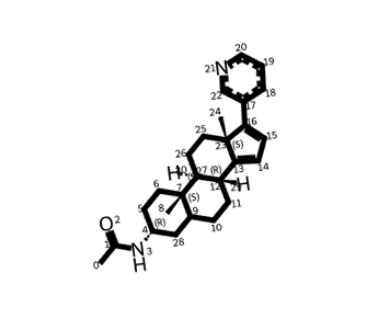 CC(=O)N[C@@H]1CC[C@@]2(C)C(CC[C@H]3C4=CC=C(c5cccnc5)[C@@]4(C)CC[C@@H]32)C1